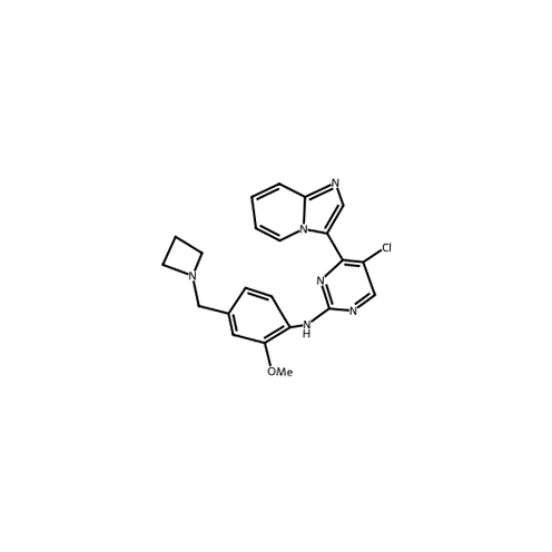 COc1cc(CN2CCC2)ccc1Nc1ncc(Cl)c(-c2cnc3ccccn23)n1